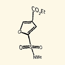 CCOC(=O)c1coc(S(=O)(=O)NC)c1